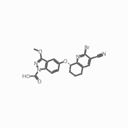 COc1nn(C(=O)O)c2ccc(O[C@H]3CCCc4cc(C#N)c(Br)nc43)cc12